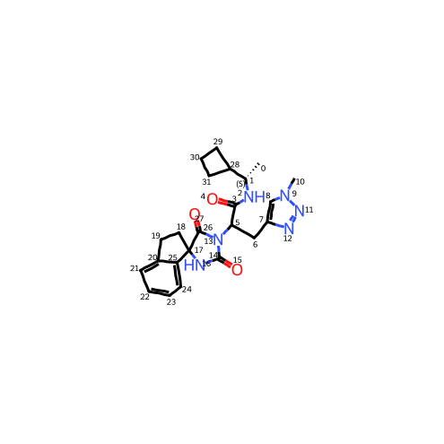 C[C@H](NC(=O)C(Cc1cn(C)nn1)N1C(=O)NC2(CCc3ccccc32)C1=O)C1CCC1